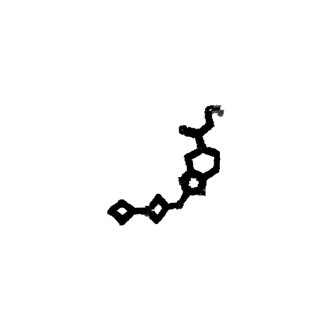 CCC(=O)N1CCc2nc(OC3CN(C4CCC4)C3)sc2C1